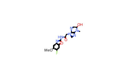 COc1cc2nc(NC(=O)Cn3cnc4c3N=CC(O)N4C)oc2cc1F